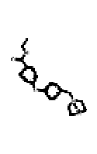 CCNC(=O)c1ccc(Oc2ccc(C[N+]34CCN(CC3)CC4)cc2)cc1